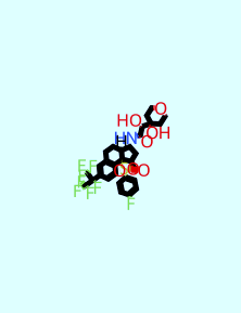 O=CC1C[C@@H](NC(=O)C(O)C2(O)CCOCC2)[C@@H]2CCc3cc(C(F)(C(F)(F)F)C(F)(F)F)ccc3[C@@]12S(=O)(=O)c1ccc(F)cc1